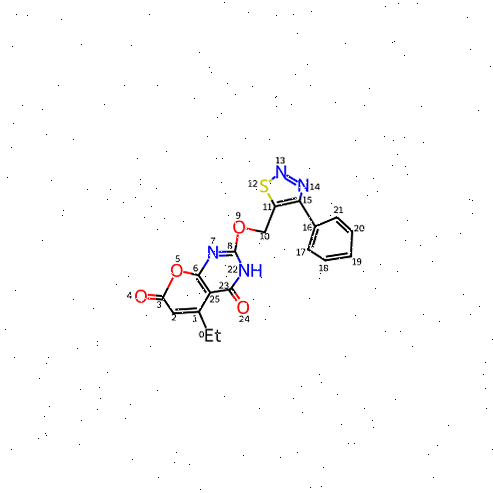 CCc1cc(=O)oc2nc(OCc3snnc3-c3ccccc3)[nH]c(=O)c12